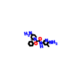 Cc1cc(NC(=O)C(=O)N2CC[C@@H](N)C[C@H]2c2ccccc2)cnc1N